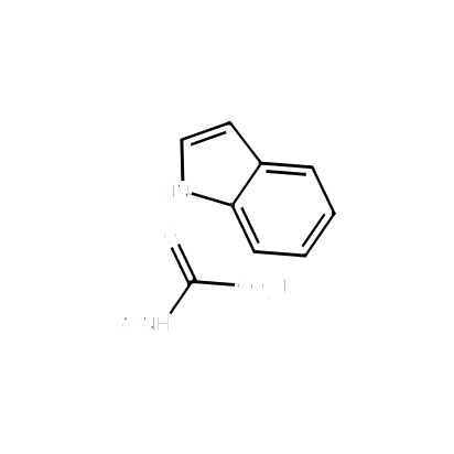 CC(=O)NC(=O)C(=O)O.c1ccc2[nH]ccc2c1